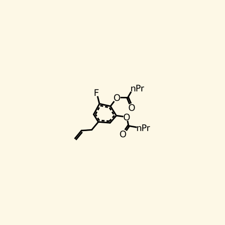 C=CCc1cc(F)c(OC(=O)CCC)c(OC(=O)CCC)c1